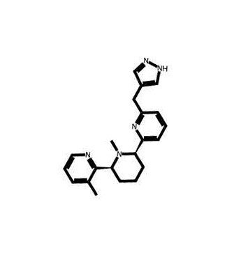 Cc1cccnc1[C@@H]1CCC[C@H](c2cccc(Cc3cn[nH]c3)n2)N1C